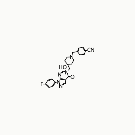 N#Cc1ccc(CN2CCC(O)(Cn3cnc4c(cnn4-c4ccc(F)cc4)c3=O)CC2)cc1